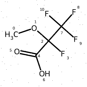 COC(F)(C(=O)O)C(F)(F)F